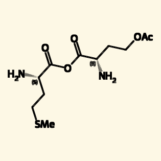 CSCC[C@H](N)C(=O)OC(=O)[C@@H](N)CCOC(C)=O